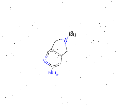 CC(C)(C)N1Cc2cnc(N)cc2C1